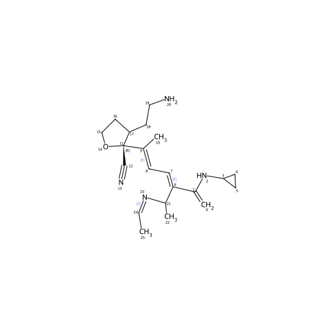 C=C(NC1CC1)/C(=C/C=C(\C)[C@]1(C#N)OCCC1CCN)C(C)/N=C\C